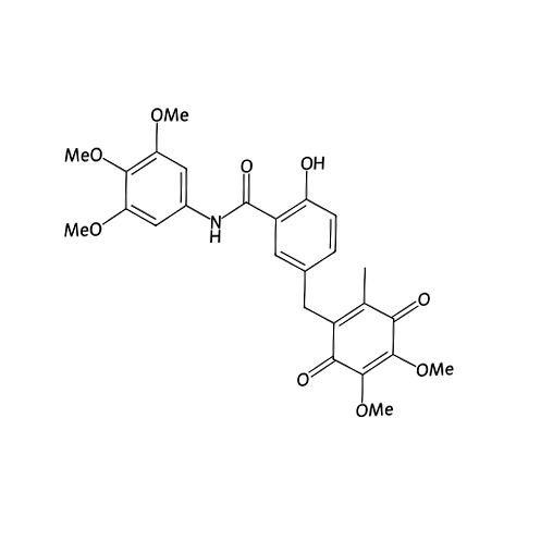 COC1=C(OC)C(=O)C(Cc2ccc(O)c(C(=O)Nc3cc(OC)c(OC)c(OC)c3)c2)=C(C)C1=O